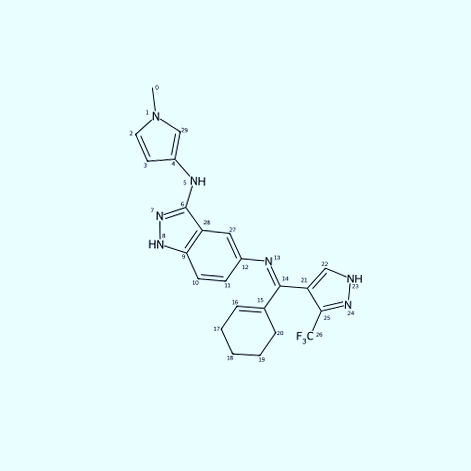 Cn1ccc(Nc2n[nH]c3ccc(/N=C(\C4=CCCCC4)c4c[nH]nc4C(F)(F)F)cc23)c1